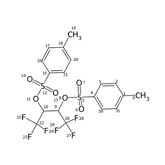 Cc1ccc(S(=O)(=O)OC(C(OS(=O)(=O)c2ccc(C)cc2)C(F)(F)F)C(F)(F)F)cc1